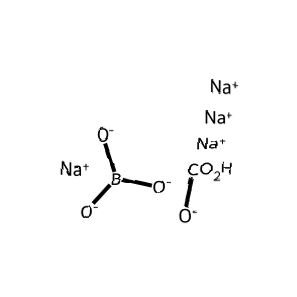 O=C([O-])O.[Na+].[Na+].[Na+].[Na+].[O-]B([O-])[O-]